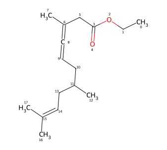 CCOC(=O)CC(C)=C=CCC(C)CC=C(C)C